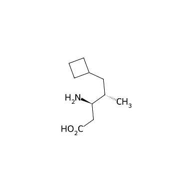 C[C@@H](CC1CCC1)[C@H](N)CC(=O)O